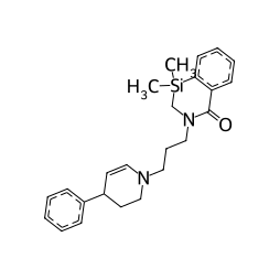 C[Si]1(C)CN(CCCN2C=CC(c3ccccc3)CC2)C(=O)c2ccccc21